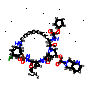 C=C[C@@H]1C[C@@]12NC(=O)[C@@H]1C[C@@H](OC(=O)N3Cc4cccnc4C3)CN1C(=O)[C@@H](NC(=O)OC1CCCC1)CCCCCCCNc1ccc(F)cc1S(=O)(=O)NC2=O